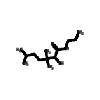 CCCNC(=O)C(O)C(C)(C)CCC(C)C